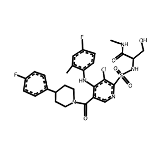 CNC(=O)C(CO)NS(=O)(=O)c1ncc(C(=O)N2CCC(c3ccc(F)cc3)CC2)c(Nc2ccc(F)cc2C)c1Cl